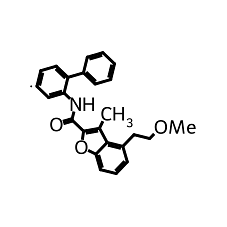 COCCc1cccc2oc(C(=O)Nc3c[c]ccc3-c3ccccc3)c(C)c12